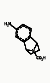 Nc1ccc2c(c1)C1CCC2N1C(=O)O